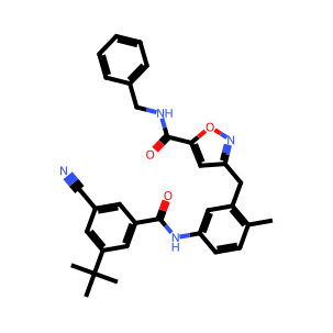 Cc1ccc(NC(=O)c2cc(C#N)cc(C(C)(C)C)c2)cc1Cc1cc(C(=O)NCc2ccccc2)on1